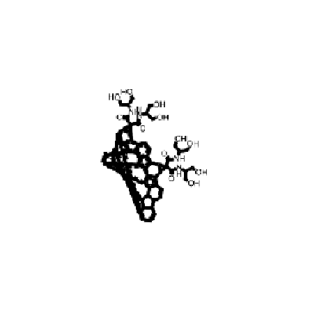 O=C(NC(CO)CO)C1(C(=O)NC(CO)CO)c2c1c1c3ccc4c5c6c7c(c8c9c7c7c%10c%11c%12c%13c(c2c%12c1c1c3c4c6c7c%111)C=CC1C%13C=%10C9C1C=C8)C1C5C1(C(=O)NC(CO)CO)C(=O)NC(CO)CO